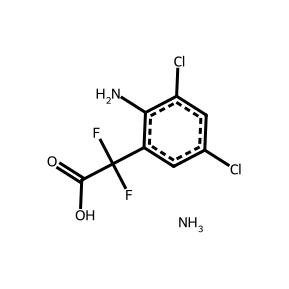 N.Nc1c(Cl)cc(Cl)cc1C(F)(F)C(=O)O